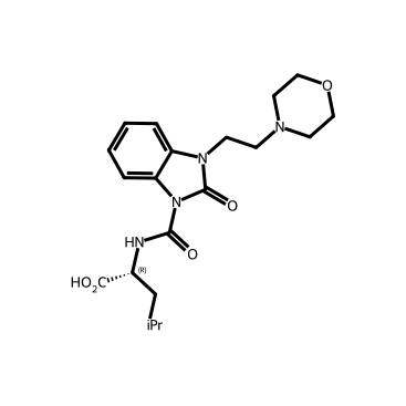 CC(C)C[C@@H](NC(=O)n1c(=O)n(CCN2CCOCC2)c2ccccc21)C(=O)O